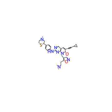 CN(C)CCc1oncc1Cn1c(=O)c(C#CC2CC2)cc2cnc(Nc3ccc(C4CN(C)CCS4)cc3)nc21